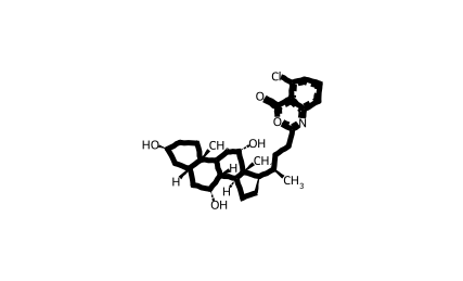 C[C@H](CCc1nc2cccc(Cl)c2c(=O)o1)[C@H]1CC[C@H]2[C@H]3C(C[C@H](O)[C@]12C)[C@@]1(C)CC[C@@H](O)C[C@H]1C[C@H]3O